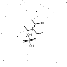 CCN(CC)C(C)O.O=S(=O)(O)O